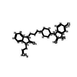 C=CCn1c(=O)n(CCCN2CCC(n3c(=O)[nH]c4cc(Cl)ccc43)CC2)c2ccccc21